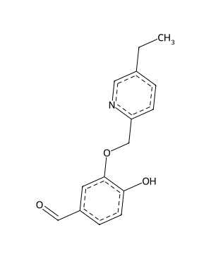 CCc1ccc(COc2cc(C=O)ccc2O)nc1